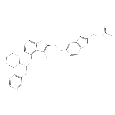 CC(=O)OCc1cc2cc(OCc3oc4cccc(OC(Cc5cccnc5)C5CCCNC5)c4c3C)ccc2o1